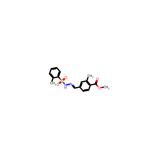 COC(=O)c1ccc(C=NNS(=O)(=O)c2ccccc2C)cc1C